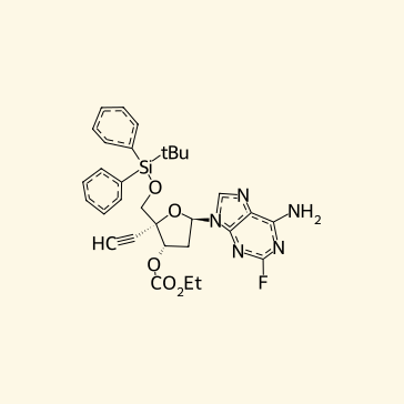 C#C[C@]1(CO[Si](c2ccccc2)(c2ccccc2)C(C)(C)C)O[C@@H](n2cnc3c(N)nc(F)nc32)C[C@@H]1OC(=O)OCC